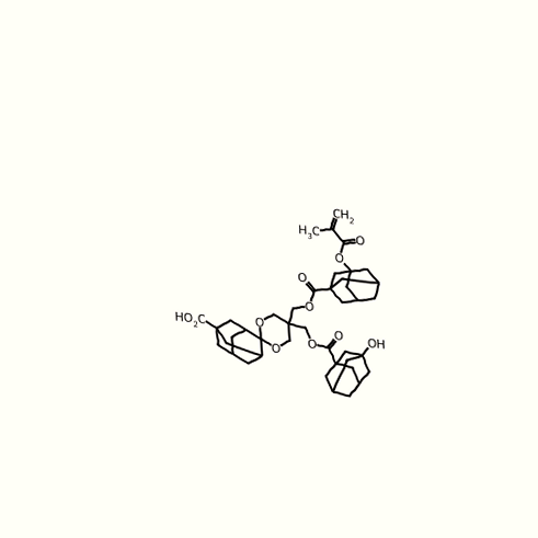 C=C(C)C(=O)OC12CC3CC(C1)CC(C(=O)OCC1(COC(=O)C45CC6CC(CC(O)(C6)C4)C5)COC4(OC1)C1CC5CC4CC(C(=O)O)(C5)C1)(C3)C2